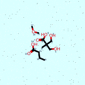 CC(CO)(CO)C(=O)O.CCCC(=O)O.COC